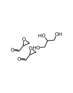 O=CC1CO1.O=CC1CO1.OCC(O)CO